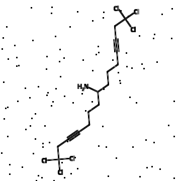 NC(CCCC#CCC(Cl)(Cl)Cl)CCCC#CCC(Cl)(Cl)Cl